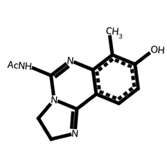 CC(=O)NC1=Nc2c(ccc(O)c2C)C2=NCCN12